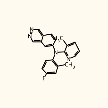 Cc1cc(F)ccc1N(c1ccc2cnncc2c1)c1ncccc1C